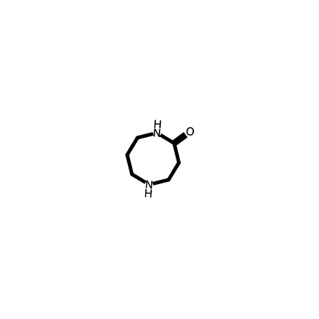 O=C1CCNCCCN1